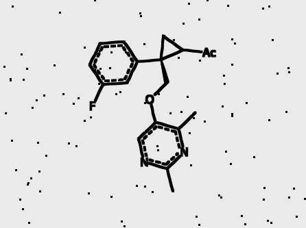 CC(=O)C1C[C@@]1(COc1cnc(C)nc1C)c1cccc(F)c1